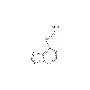 O=C/C=C/c1cccc2occc12